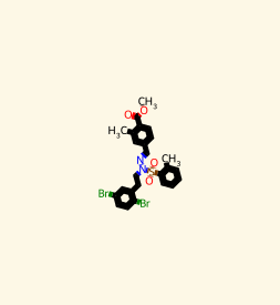 COC(=O)c1ccc(C=NN(CCc2cc(Br)ccc2Br)S(=O)(=O)c2ccccc2C)cc1C